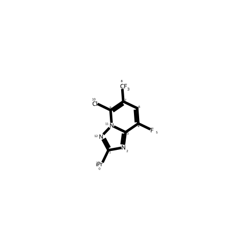 CC(C)c1nc2c(F)cc(C(F)(F)F)c(Cl)n2n1